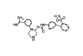 N=C(N)c1cccc(N2CCNCC2OC(=O)Nc2ccc(-c3ccccc3S(N)(=O)=O)cc2)c1